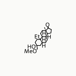 CC[C@]12CC[C@](O)(COC)C[C@H]1CC[C@@H]1[C@@H]2CC[C@]2(C)C(=O)CC[C@@H]12